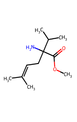 COC(=O)C(N)(CC=C(C)C)C(C)C